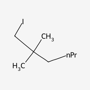 CCCCC(C)(C)CI